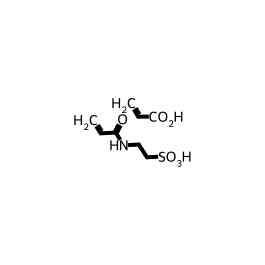 C=CC(=O)NCCS(=O)(=O)O.C=CC(=O)O